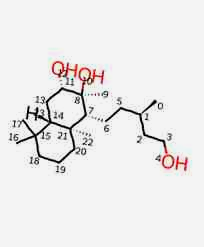 C[C@@H](CCO)CC[C@H]1[C@](C)(O)[C@@H](O)C[C@H]2C(C)(C)CCC[C@@]21C